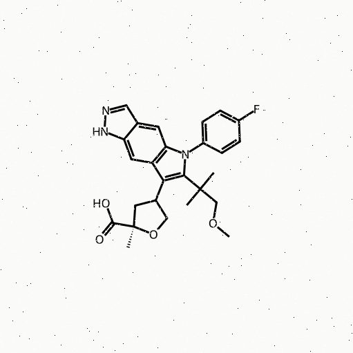 COCC(C)(C)c1c(C2CO[C@@](C)(C(=O)O)C2)c2cc3[nH]ncc3cc2n1-c1ccc(F)cc1